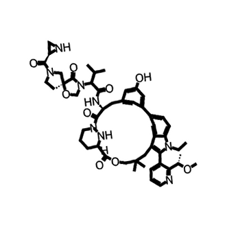 CCn1c(-c2cccnc2[C@H](C)OC)c2c3cc(ccc31)-c1cc(O)cc(c1)C[C@H](NC(=O)C(C(C)C)N1CO[C@]3(CCN(C(=O)[C@H]4CN4)C3)C1=O)C(=O)N1CCC[C@H](N1)C(=O)OCC(C)(C)C2